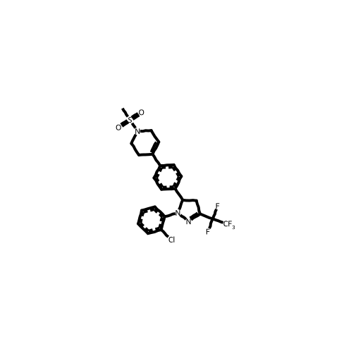 CS(=O)(=O)N1CC=C(c2ccc(C3CC(C(F)(F)C(F)(F)F)=NN3c3ccccc3Cl)cc2)CC1